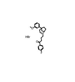 Br.COc1cccc(C23CCC(C2)N(CCCC(=O)c2ccc(F)cc2)CC3)c1